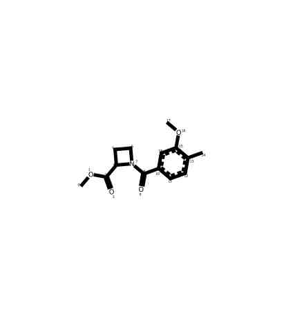 COC(=O)C1CCN1C(=O)c1ccc(C)c(OC)c1